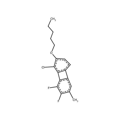 CCCCCOc1ccc2c(c1Cl)-c1c-2cc(C)c(F)c1F